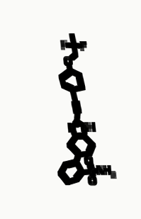 CC(F)(F)COc1ccc(C#Cc2nc3cc(-c4ccccc4S(N)(=O)=O)ccc3[nH]2)cc1